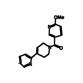 COc1ccc(C(=O)N2CC=C(c3cc[c]cn3)CC2)cn1